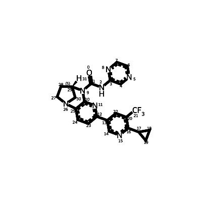 O=C(Nc1cnccn1)N1c2nc(-c3cnc(C4CC4)c(C(F)(F)F)c3)ccc2N2CC[C@H]1C2